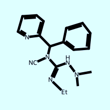 CCN=C(NN(C)C)N(C#N)C(c1ccccc1)c1ccccn1